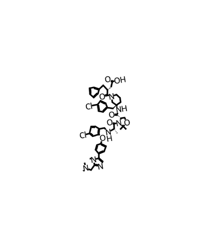 C[C@H](NCc1ccc(Cl)cc1Oc1ccc(-c2cnc(CN(C)C)n2C)cc1)C(=O)N1[C@H](C(=O)N[C@@]2(Cc3ccc(Cl)cc3)CCCN(C(=O)[C@@H](CC(=O)O)Cc3ccccc3)C2)COC1(C)C